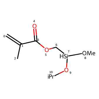 C=C(C)C(=O)OC[SiH](OC)OC(C)C